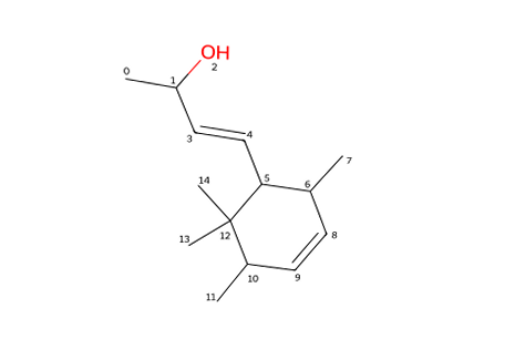 CC(O)C=CC1C(C)C=CC(C)C1(C)C